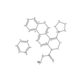 CC(C)(C)OC(=O)C1CCC(N2CCCC2)=c2c1ccc1c2=CCc2ccccc2-1.c1ccncc1